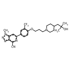 Cn1nnc2c(C#N)nc(-c3ccc(OCCCN4CCN(CC(C)(C)O)CC4)c(C(F)(F)F)c3)cc21